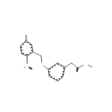 COC(=O)Cc1cccc(NCc2cc(F)ccc2[N+](=O)[O-])c1